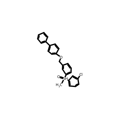 C[SH](=O)(c1cccc(Cl)c1)c1cccc(COc2ccc(-c3[c]cccc3)cc2)c1